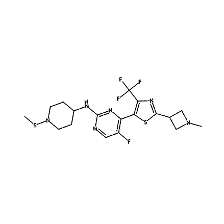 CSN1CCC(Nc2ncc(F)c(-c3sc(C4CN(C)C4)nc3C(F)(F)F)n2)CC1